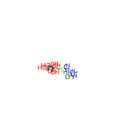 Cc1nc(C)c(Cl)c(NCc2nccc(SCCCS[C@]3(O)[C@@H](O)O[C@H](CO)[C@@H](O)[C@@H]3O)c2C)n1